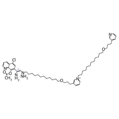 CC(=O)Oc1c(/C(N)=C/N(N)CCCCCCCCCCCCOCCCc2ccc[n+](CCCCCCCCCCCCOCCCc3cccnc3)c2)cc(Cl)c2cccnc12